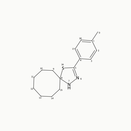 Cc1ccc(C2=NNC3(CCCCCCC3)S2)cc1